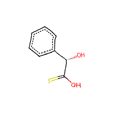 OC(=S)[C@@H](O)c1ccccc1